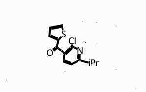 CC(C)c1ccc(C(=O)c2cccs2)c(Cl)n1